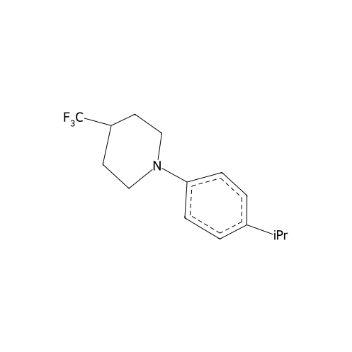 CC(C)c1ccc(N2CCC(C(F)(F)F)CC2)cc1